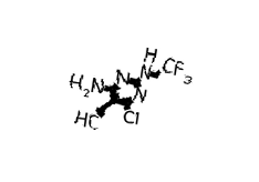 C#Cc1c(N)nc(NCC(F)(F)F)nc1Cl